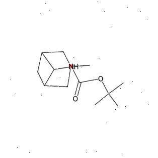 CN1CC2CC(C1)C2NC(=O)OC(C)(C)C